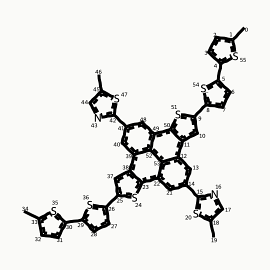 Cc1ccc(-c2ccc(-c3cc4c5cc(-c6ncc(C)s6)cc6c7sc(-c8ccc(-c9ccc(C)s9)s8)cc7c7cc(-c8ncc(C)s8)cc(c4s3)c7c56)s2)s1